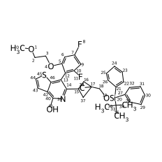 COCCOc1cc(F)cc(F)c1-c1c(C23CC(CO[Si](c4ccccc4)(c4ccccc4)C(C)(C)C)(C2)C3)nc(O)c2ccsc12